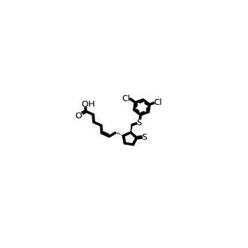 O=C(O)CCC/C=C\C[C@H]1CCC(=S)[C@@H]1CSc1cc(Cl)cc(Cl)c1